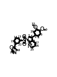 COc1ccc(-c2cn(S(=O)(=O)c3cccc(-c4cnco4)c3)c3ncccc23)cc1OC